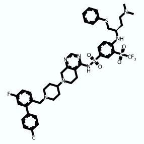 CN(C)CC[C@H](CSc1ccccc1)Nc1ccc(S(=O)(=O)Nc2ncnc3c2CCN(C2CCN(Cc4ccc(F)cc4-c4ccc(Cl)cc4)CC2)C3)cc1S(=O)(=O)C(F)(F)F